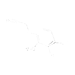 C#CCOc1ccc(C=O)c(OC(C)=O)c1OC